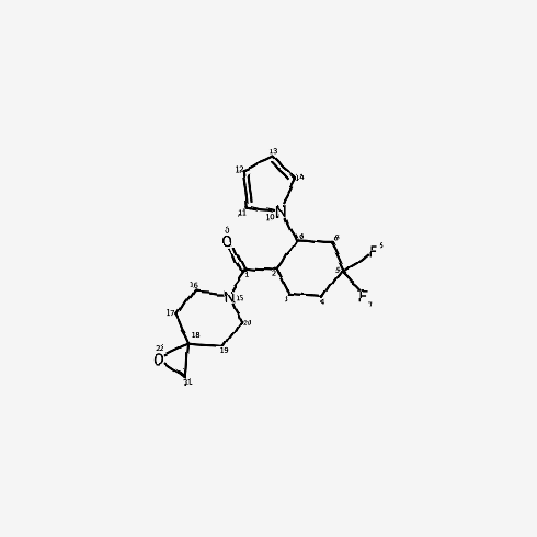 O=C(C1CCC(F)(F)CC1n1cccc1)N1CCC2(CC1)CO2